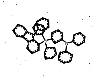 c1ccc(N(c2ccccc2)c2cccc([Si](c3ccccc3)(c3ccccc3)c3cccc4c5ccccc5n(-c5ccccc5)c34)c2)cc1